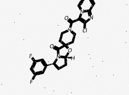 O=C(c1c(Cl)nc2ccccn12)N1CCC2(CC1)O[C@@H]1CC[C@@H](c3cc(F)cc(F)c3)N1C2=O